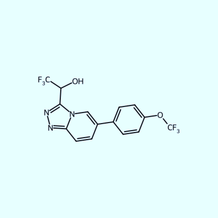 OC(c1nnc2ccc(-c3ccc(OC(F)(F)F)cc3)cn12)C(F)(F)F